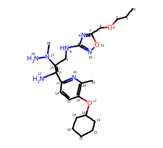 CCCOCc1nc(NC/C(=C(/N)c2ccc(OC3CCCCC3)c(C)n2)N(C)N)no1